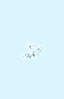 CC(C)(C)c1cc(CCCC(CCCc2cc(C(C)(C)C)cc(C(C)(C)C)c2O)(CSCCC(=O)O)C(=O)O)c(O)c(C(C)(C)C)c1